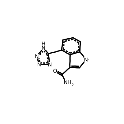 NC(=O)C1=C[N]c2cccc(-c3nnn[nH]3)c21